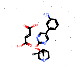 Nc1cccc(-c2cnc(O[C@H]3CN4CCC3CC4)nc2)c1.O=C(O)/C=C/C(=O)O